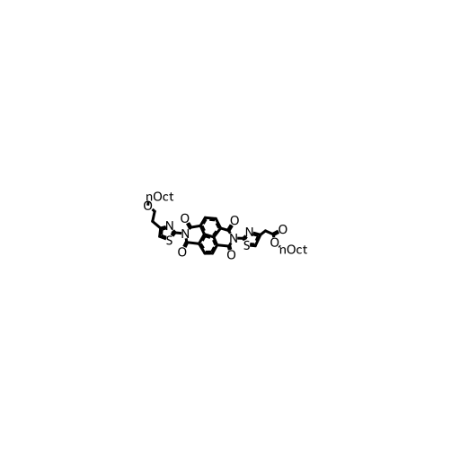 CCCCCCCCOCCc1csc(N2C(=O)c3ccc4c5c(ccc(c35)C2=O)C(=O)N(c2nc(CC(=O)OCCCCCCCC)cs2)C4=O)n1